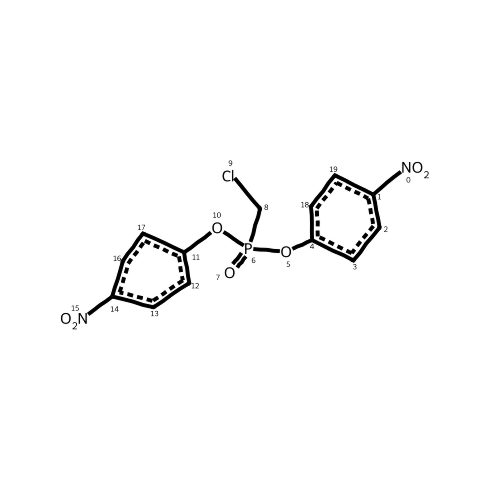 O=[N+]([O-])c1ccc(OP(=O)(CCl)Oc2ccc([N+](=O)[O-])cc2)cc1